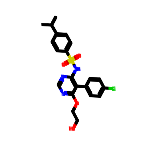 CC(C)c1ccc(S(=O)(=O)Nc2ncnc(OCCO)c2-c2ccc(Cl)cc2)cc1